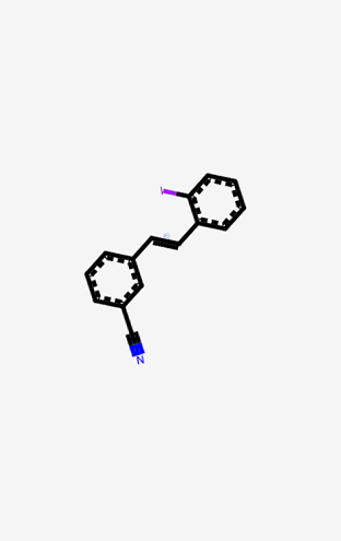 N#Cc1cccc(/C=C/c2ccccc2I)c1